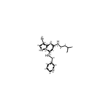 CC(C)CCNc1cc(NCc2cccnc2)n2ncc(Br)c2n1